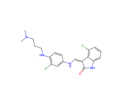 CN(C)CCCNc1ccc(NC=C2C(=O)Nc3cccc(F)c32)cc1F